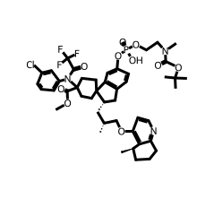 COC(=O)C1(N(C(=O)C(F)(F)F)c2cccc(Cl)c2)CCC2(CC1)c1cc(OP(=O)(O)OCCN(C)C(=O)OC(C)(C)C)ccc1C[C@@H]2C[C@@H](C)COc1ccnc2c1[C@H](C)CCC2